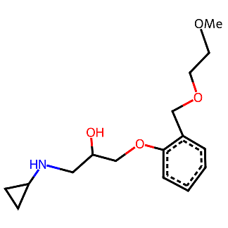 COCCOCc1ccccc1OCC(O)CNC1CC1